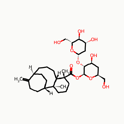 C=C1CC[C@@H]2CC[C@@H]1CCC[C@H]1[C@@]2(C)CCC[C@@]1(C)C(=O)O[C@@H]1O[C@H](CO)C[C@H](O)[C@H]1O[C@H]1C[C@@H](O)[C@H](O)[C@@H](CO)O1